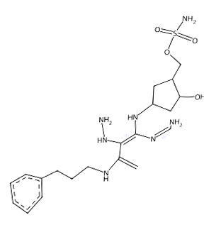 C=C(NCCCc1ccccc1)/C(NN)=C(\N=C/N)NC1CC(O)C(COS(N)(=O)=O)C1